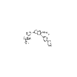 Nc1nc2ccc(-c3cncc(NC(=O)C(F)(F)F)c3)cc2cc1-c1ccc(N2CCOCC2)cc1